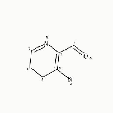 O=CC1=C(Br)CCC=N1